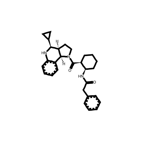 O=C(Cc1ccccc1)N[C@@H]1CCCC[C@@H]1C(=O)N1CC[C@@H]2[C@H](C3CC3)Nc3ccccc3[C@@H]21